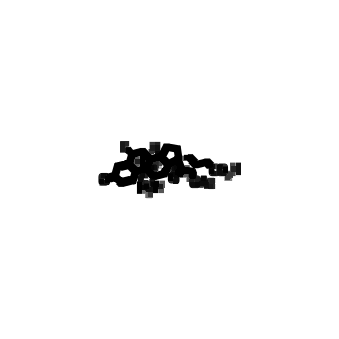 CC(=O)OCC(=O)[C@]1(CCCC(=O)O)CC[C@H]2[C@@H]3C[C@H](F)C4=CC(=O)C=C[C@]4(C)[C@@]3(F)[C@@H](O)C[C@@]21C